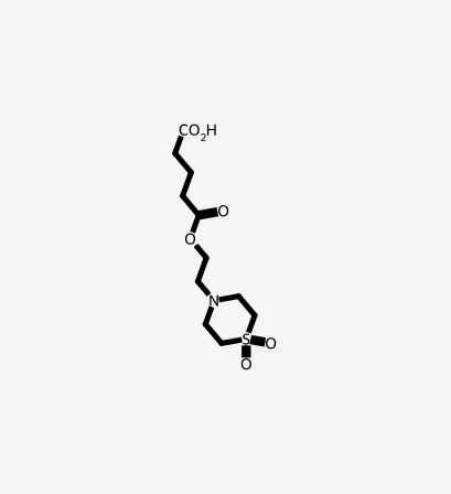 O=C(O)CCCC(=O)OCCN1CCS(=O)(=O)CC1